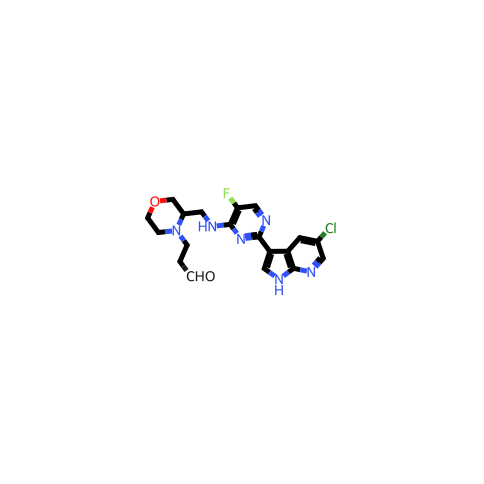 O=CCCN1CCOCC1CNc1nc(-c2c[nH]c3ncc(Cl)cc23)ncc1F